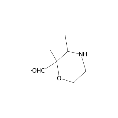 CC1NCCOC1(C)[C]=O